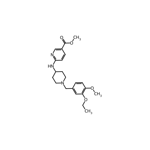 CCOc1cc(CN2CCC(Nc3ccc(C(=O)OC)cn3)CC2)ccc1OC